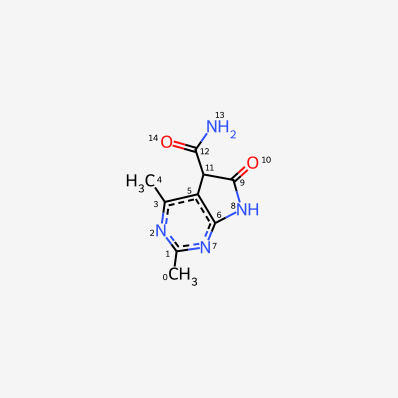 Cc1nc(C)c2c(n1)NC(=O)C2C(N)=O